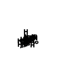 CCCCCC(Cc1ccccc1)C(=O)N[C@@H](Cc1ccccc1)C(=O)N[C@@H](Cc1c[nH]cn1)C(=O)NCC(O)[C@H](C)[C@](NC(=O)CCCCCC1CCCCC1)(C(=O)NCc1nnn[nH]1)C(C)C